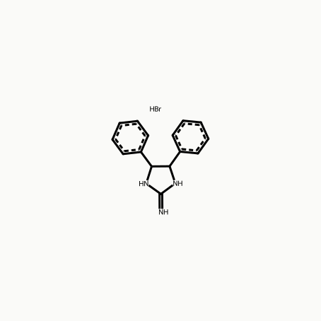 Br.N=C1NC(c2ccccc2)C(c2ccccc2)N1